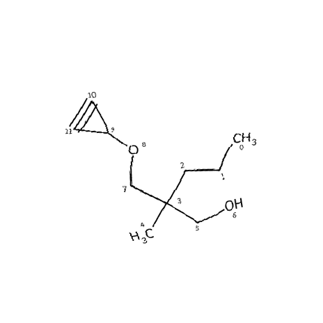 CCCC(C)(CO)COC1C#C1